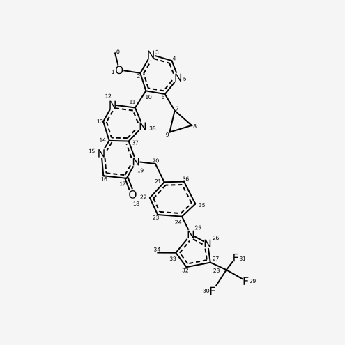 COc1ncnc(C2CC2)c1-c1ncc2ncc(=O)n(Cc3ccc(-n4nc(C(F)(F)F)cc4C)cc3)c2n1